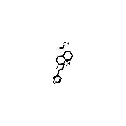 C[C@@H]1CC[C@]2(C)[C@H](CCC[C@H]2C(=O)O)[C@@]1(C)CCc1ccoc1